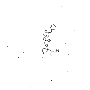 CC(OC(=O)COc1ccccc1CC(=O)O)OC(=O)Cc1ccccc1